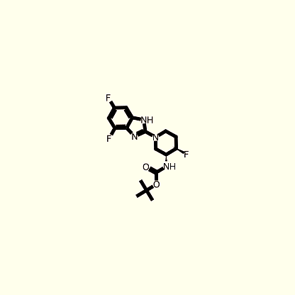 CC(C)(C)OC(=O)N[C@@H]1CN(c2nc3c(F)cc(F)cc3[nH]2)CC[C@H]1F